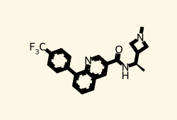 C[C@@H](NC(=O)c1cnc2c(-c3ccc(C(F)(F)F)cc3)cccc2c1)C1CN(C)C1